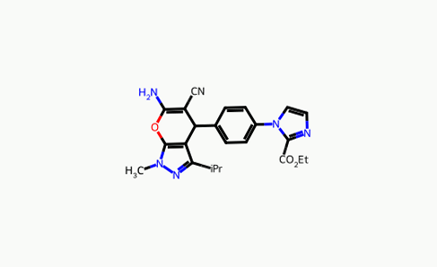 CCOC(=O)c1nccn1-c1ccc(C2C(C#N)=C(N)Oc3c2c(C(C)C)nn3C)cc1